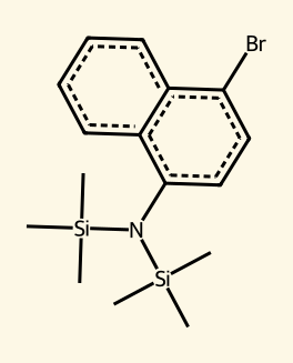 C[Si](C)(C)N(c1ccc(Br)c2ccccc12)[Si](C)(C)C